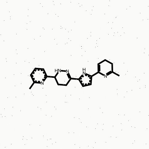 CC1=NC(c2ccc(C3=NNC(c4cccc(C)n4)CC3)[nH]2)=CCC1